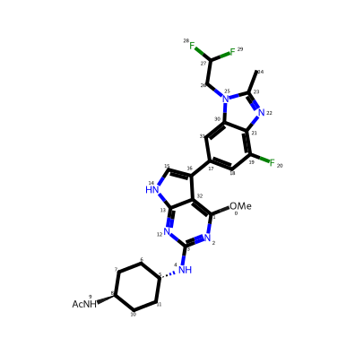 COc1nc(N[C@H]2CC[C@H](NC(C)=O)CC2)nc2[nH]cc(-c3cc(F)c4nc(C)n(CC(F)F)c4c3)c12